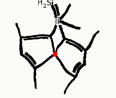 CC1=CC(C)=[C]([Ti]([CH3])([CH3])(=[SiH2])[C]2=C(C)C=C(C)C2)C1